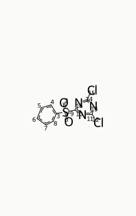 O=S(=O)(c1ccccc1)c1nc(Cl)nc(Cl)n1